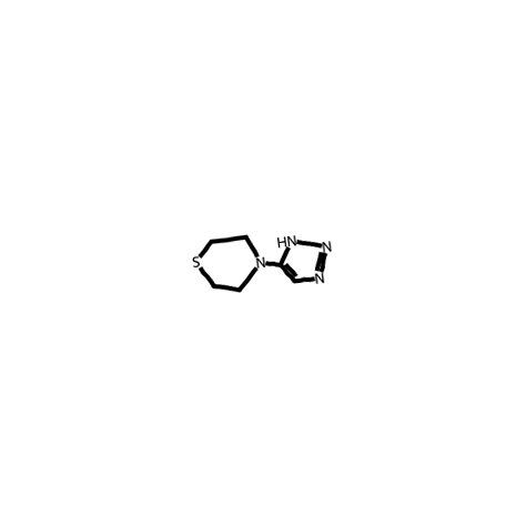 c1nn[nH]c1N1CCSCC1